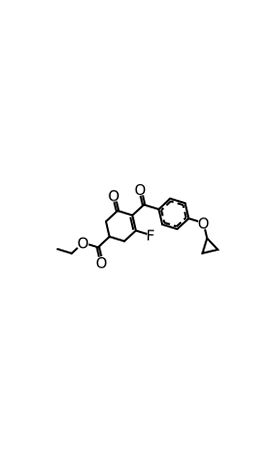 CCOC(=O)C1CC(=O)C(C(=O)c2ccc(OC3CC3)cc2)=C(F)C1